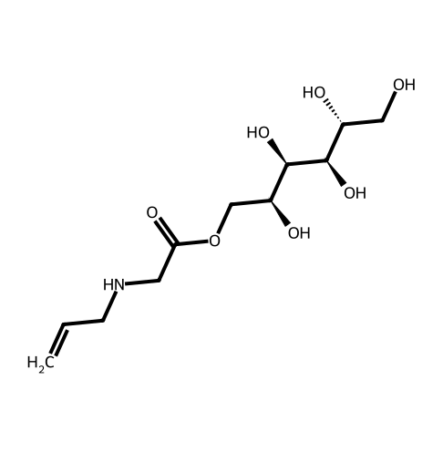 C=CCNCC(=O)OC[C@H](O)[C@@H](O)[C@H](O)[C@H](O)CO